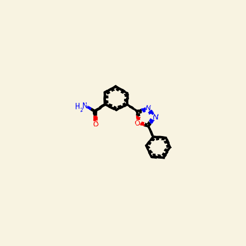 NC(=O)c1cccc(-c2nnc(-c3ccccc3)o2)c1